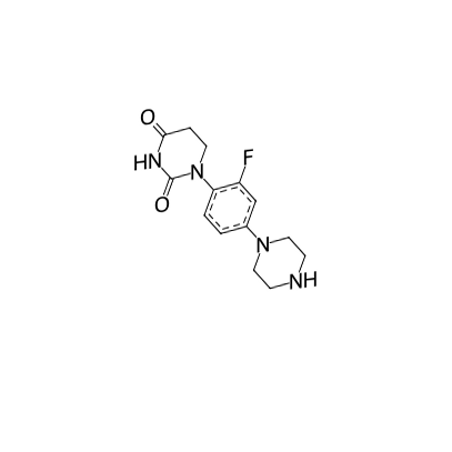 O=C1CCN(c2ccc(N3CCNCC3)cc2F)C(=O)N1